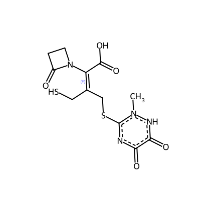 Cn1[nH]c(=O)c(=O)nc1SC/C(CS)=C(\C(=O)O)N1CCC1=O